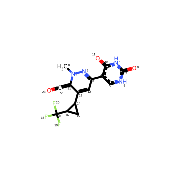 CN1N=C(c2c[nH]c(=O)[nH]c2=O)C=C(C2CC2C(F)(F)F)C1=C=O